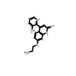 CCCOc1ccc2c(-c3ncccc3C)cc(=O)oc2c1